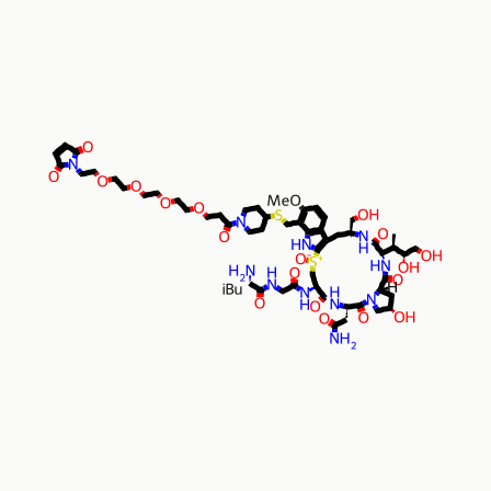 CC[C@H](C)[C@H](N)C(=O)NCC(=O)N[C@H]1C[S+]([O-])c2[nH]c3c(CSC4CCN(C(=O)CCOCCOCCOCCOCCN5C(=O)C=CC5=O)CC4)c(OC)ccc3c2C[C@@H](CO)NC(=O)[C@H]([C@@H](C)[C@@H](O)CO)NC(=O)[C@@H]2C[C@@H](O)CN2C(=O)[C@H](CC(N)=O)NC1=O